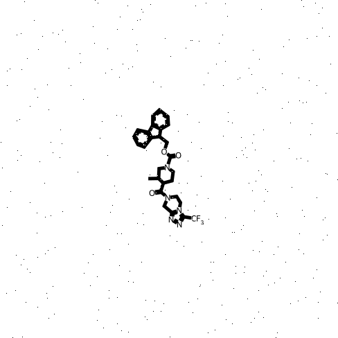 CC1CN(C(=O)OCC2c3ccccc3-c3ccccc32)CCC1C(=O)N1CCn2c(nnc2C(F)(F)F)C1